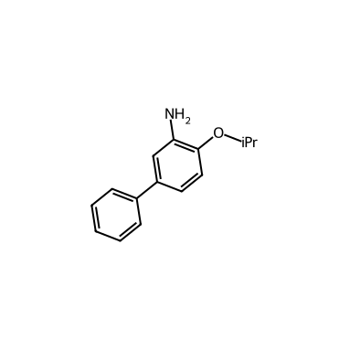 CC(C)Oc1ccc(-c2ccccc2)cc1N